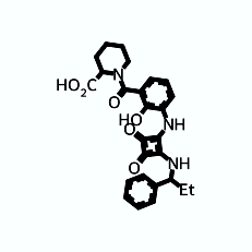 CCC(Nc1c(Nc2cccc(C(=O)N3CCCCC3C(=O)O)c2O)c(=O)c1=O)c1ccccc1